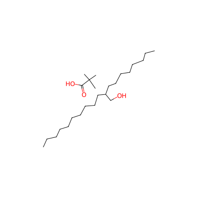 CC(C)(C)C(=O)O.CCCCCCCCCCC(CO)CCCCCCCC